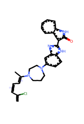 C=C(Cl)/C=C\C=C(/C)N1CCCN(c2ccc3[nH]c(-c4c5cccccc-5[nH]c4=O)nc3c2)CC1